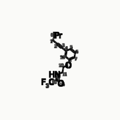 CC(C)CC#Cc1cccc(OCCNC(=O)C(F)(F)F)c1